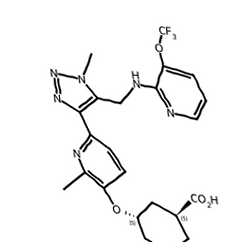 Cc1nc(-c2nnn(C)c2CNc2ncccc2OC(F)(F)F)ccc1O[C@H]1CCC[C@H](C(=O)O)C1